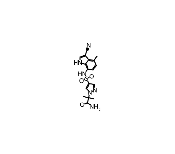 Cc1ccc(NS(=O)(=O)c2cnn(C(C)(C)C(N)=O)c2)c2[nH]cc(C#N)c12